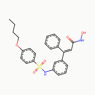 CCCCOc1ccc(S(=O)(=O)Nc2cccc(C(=CC(=O)NO)c3ccccc3)c2)cc1